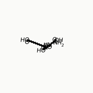 N[C@@H](CCCCNC(=O)CCN(CC(=O)O)C(=O)CCCCCCCCCCCCCCCCC(=O)O)C(=O)O